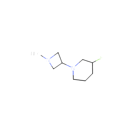 CN1CC(N2CCCC(F)C2)C1